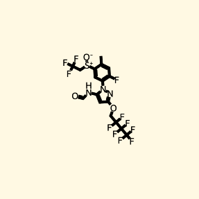 Cc1cc(F)c(-n2nc(OCC(F)(F)C(F)(F)C(F)(F)F)cc2NC=O)cc1[S+]([O-])CC(F)(F)F